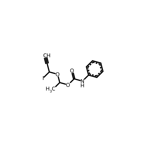 C#CC(I)OC(C)OC(=O)Nc1ccccc1